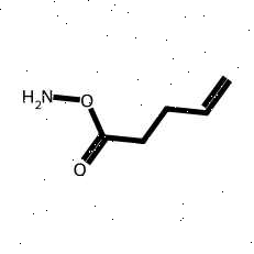 C=CCCC(=O)ON